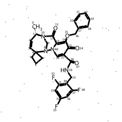 C[C@H]1C=CC2(CCC2)N2CN1C(=O)c1c(OCc3ccccc3)c(=O)c(C(=O)NCc3c(F)cc(F)cc3F)cn12